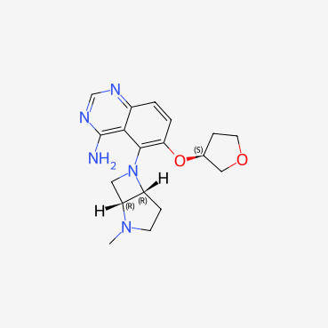 CN1CC[C@@H]2[C@H]1CN2c1c(O[C@H]2CCOC2)ccc2ncnc(N)c12